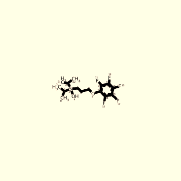 CC(C)[Si](O)(CCCOc1c(F)c(F)c(F)c(F)c1F)C(C)C